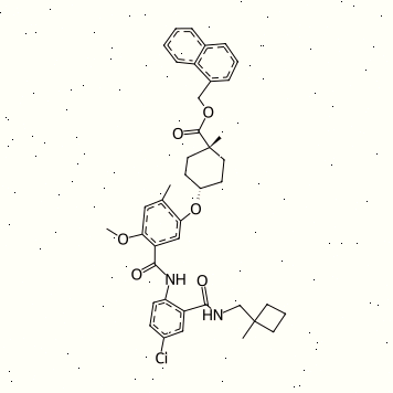 COc1cc(C)c(O[C@H]2CC[C@@](C)(C(=O)OCc3cccc4ccccc34)CC2)cc1C(=O)Nc1ccc(Cl)cc1C(=O)NCC1(C)CCC1